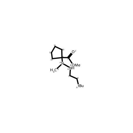 COC(=O)C1(N(C)NCCC(C)(C)C)CCCC1